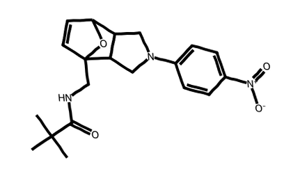 CC(C)(C)C(=O)NCC12C=CC(O1)C1CN(c3ccc([N+](=O)[O-])cc3)CC12